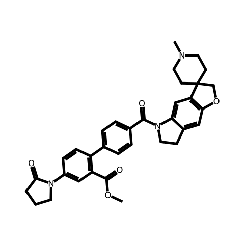 COC(=O)c1cc(N2CCCC2=O)ccc1-c1ccc(C(=O)N2CCc3cc4c(cc32)C2(CCN(C)CC2)CO4)cc1